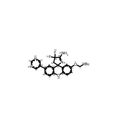 CC(C)(C)COc1ccc2c(c1)C1(CC(F)(F)C(N)=N1)c1cc(-c3cncnc3)ccc1O2